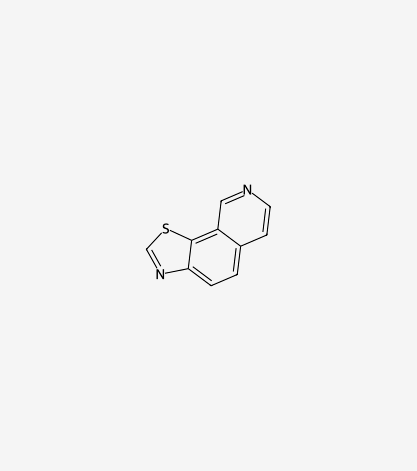 c1cc2ccc3ncsc3c2cn1